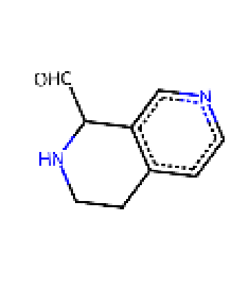 O=CC1NCCc2ccncc21